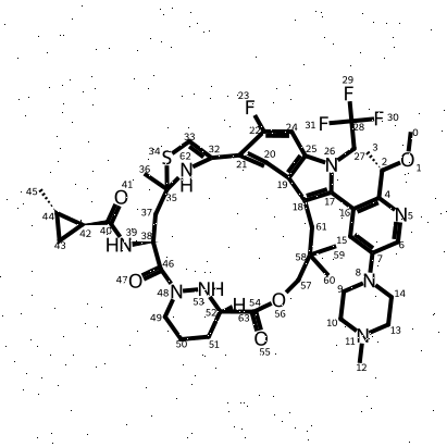 CO[C@@H](C)c1ncc(N2CCN(C)CC2)cc1-c1c2c3cc(c(F)cc3n1CC(F)(F)F)C1=CSC(C)(C[C@H](NC(=O)[C@H]3C[C@@H]3C)C(=O)N3CCC[C@H](N3)C(=O)OCC(C)(C)C2)N1